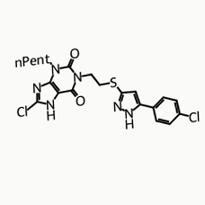 CCCCCn1c(=O)n(CCSc2cc(-c3ccc(Cl)cc3)[nH]n2)c(=O)c2[nH]c(Cl)nc21